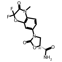 CN1C(=O)C(F)(F)Oc2cc(N3C[C@H](C(N)=O)OC3=O)ccc21